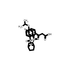 CC(C)Oc1ccc(S(=O)(=O)N2C3CCC2[C@H](n2nc(CC(=O)O)c4ccc(F)cc42)C3)cc1